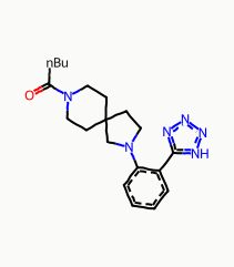 CCCCC(=O)N1CCC2(CC1)CCN(c1ccccc1-c1nnn[nH]1)C2